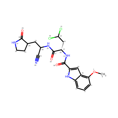 COc1cccc2[nH]c(C(=O)N[C@@H](CC(Cl)Cl)C(=O)NC(C#N)CC3CCNC3=O)cc12